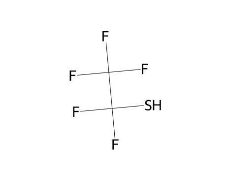 FC(F)(F)C(F)(F)S